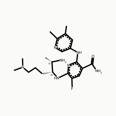 Cc1cc(Nc2nc(N[C@H](CCCN(C)C)[C@H](C)N)c(F)cc2C(N)=O)cnc1C